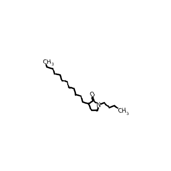 CCCCCCCCCCCCC1CCN(CCCC)C1=O